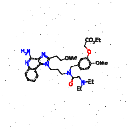 CCOC(=O)COc1cc(CN(CCCn2c(CCOC)nc3c(N)nc4ccccc4c32)C(=O)CN(CC)CC)ccc1OC